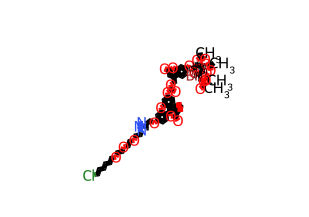 CC(=O)OC[C@H]1O[C@@H](Oc2cc3oc(=O)cc(COC(=O)Oc4ccc5c(c4)Oc4cc(OCc6cn(CCOCCOCCOCCCCCCCl)nn6)ccc4C54OC(=O)c5ccccc54)c3cc2Br)[C@H](OC(C)=O)[C@@H](OC(C)=O)[C@H]1OC(C)=O